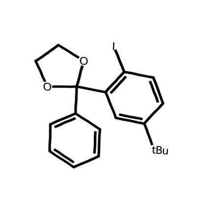 CC(C)(C)c1ccc(I)c(C2(c3ccccc3)OCCO2)c1